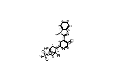 Cn1c(-c2cc(N3C[C@H]4C[C@@H]3CN4S(C)(=O)=O)ncc2Cl)nc2ccccc21